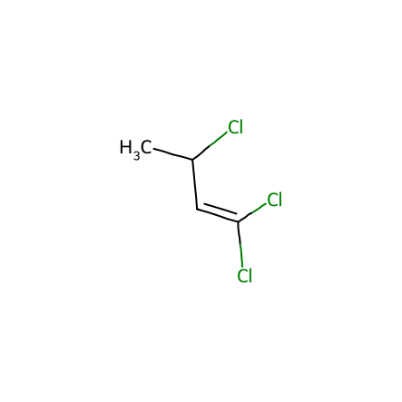 CC(Cl)C=C(Cl)Cl